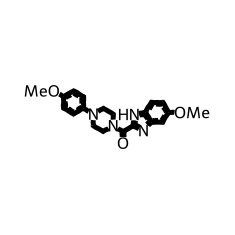 COc1ccc(N2CCN(C(=O)c3nc4cc(OC)ccc4[nH]3)CC2)cc1